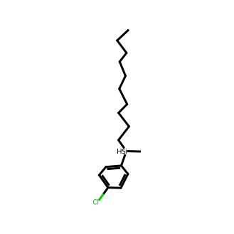 CCCCCCCCCC[SiH](C)c1ccc(Cl)cc1